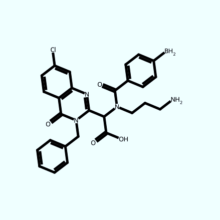 Bc1ccc(C(=O)N(CCCN)C(C(=O)O)c2nc3cc(Cl)ccc3c(=O)n2Cc2ccccc2)cc1